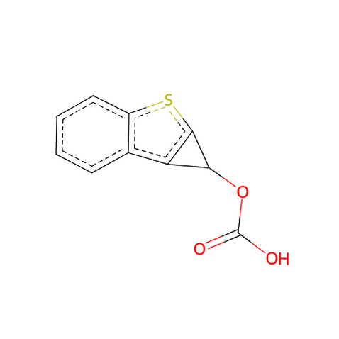 O=C(O)OC1c2sc3ccccc3c21